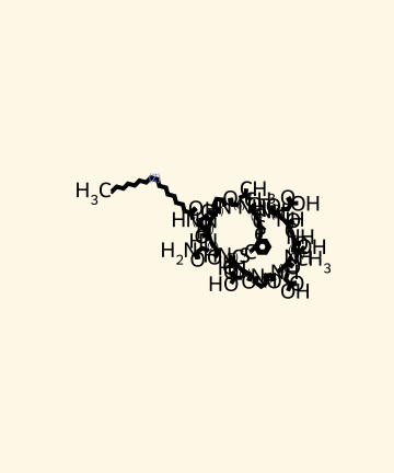 CCCCCCCC/C=C\CCCCCCCC(=O)N[C@H]1C[C@H]2C(=O)N[C@@H](CCC(N)=O)C(=O)N[C@H]3CSCc4ccccc4CSC[C@H](NC(=O)[C@H](CCC(=O)O)NC(=O)CNC(=O)[C@H]([C@@H](C)O)NC(=O)[C@H](CCC(=O)O)NC(=O)[C@H]4CCCN4C(=O)[C@@H](CC(=O)O)NC3=O)C(=O)N[C@@H](CC(C)C)C(=O)N3CCC[C@@H]3C(=O)N2C1